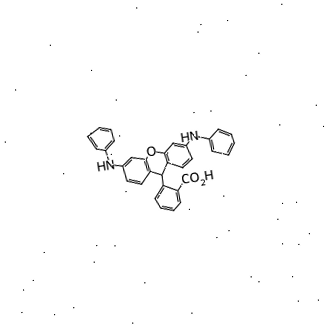 O=C(O)c1ccccc1C1c2ccc(Nc3ccccc3)cc2Oc2cc(Nc3ccccc3)ccc21